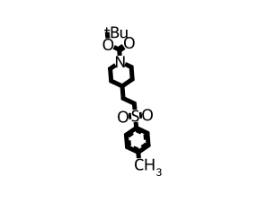 Cc1ccc(S(=O)(=O)CCC2CCN(C(=O)OC(C)(C)C)CC2)cc1